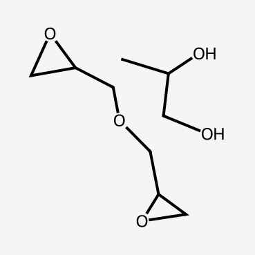 C(OCC1CO1)C1CO1.CC(O)CO